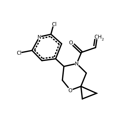 C=CC(=O)N1CC2(CC2)OCC1c1cc(Cl)nc(Cl)c1